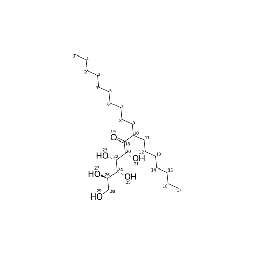 CCCCCCCCCCC(CCCCCCC)C(=O)[C@H](O)[C@@H](O)[C@H](O)[C@H](O)CO